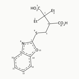 CCC(CC)(C(=O)O)C(CSc1nc2ccccc2o1)C(=O)O